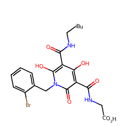 CCC(C)CNC(=O)c1c(O)c(C(=O)NCC(=O)O)c(=O)n(Cc2ccccc2Br)c1O